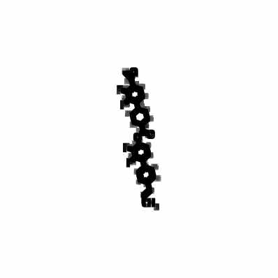 C/C=C/c1ccc(-c2ccc(OC(=O)C3CCC(c4ccc(C5CO5)c(F)c4F)CC3)c(F)c2F)cc1